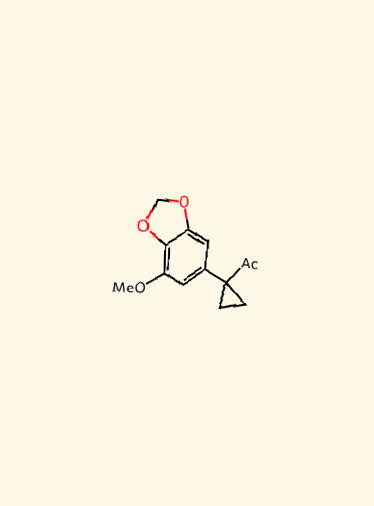 COc1cc(C2(C(C)=O)CC2)cc2c1OCO2